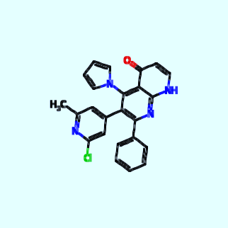 Cc1cc(-c2c(-c3ccccc3)nc3[nH]ccc(=O)c3c2-n2cccc2)cc(Cl)n1